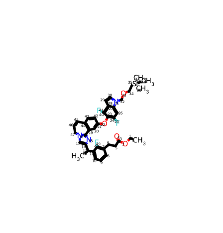 CCOC(=O)CCc1cccc(C(C)c2cn3c(n2)-c2cc(Oc4c(F)cc5c(ccn5COCC[Si](C)(C)C)c4F)ccc2C=CC3)c1F